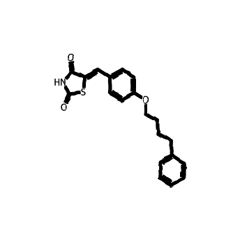 O=C1NC(=O)/C(=C/c2ccc(OCCCCc3ccccc3)cc2)S1